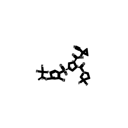 C[C@H](Oc1ccc(S(=O)(=O)[C@@H]2C[C@@H](C(=O)NC3(C#N)CC3)[C@H](C(=O)N3CCC(F)(F)C3)C2)c(Cl)c1)C(F)(F)F